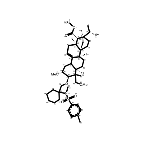 CCCCOC(=O)[C@@H]1[C@@](C)([C@H](C)C(C)C)CC[C@]2(C)[C@H]3CC[C@@H]4C(C[C@@H](OC)[C@H](OCC5(N(C)S(=O)(=O)c6ccc(C)cc6)CCCCC5)C4(C)COC)C3=CC[C@@]12C